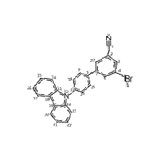 N#Cc1cc(Br)cc(-c2ccc(-n3c4ccccc4c4ccccc43)cc2)c1